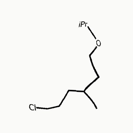 CC(CCCl)CCOC(C)C